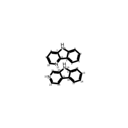 c1ccc2c(c1)[nH]c1cccnc12.c1ccc2c(c1)[nH]c1cnccc12